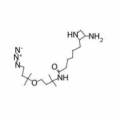 CC(C)(CCOC(C)(C)CCN=[N+]=[N-])NC(=O)CCCCCC1NCC1N